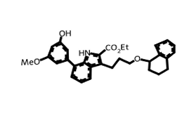 CCOC(=O)c1[nH]c2c(-c3cc(O)cc(OC)c3)cccc2c1CCCOC1CCCc2ccccc21